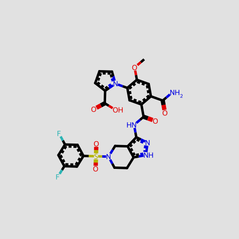 COc1cc(C(N)=O)c(C(=O)Nc2n[nH]c3c2CN(S(=O)(=O)c2cc(F)cc(F)c2)CC3)cc1-n1cccc1C(=O)O